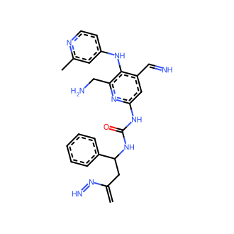 C=C(CC(NC(=O)Nc1cc(C=N)c(Nc2ccnc(C)c2)c(CN)n1)c1ccccc1)N=N